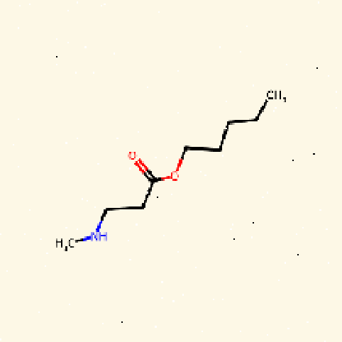 CCCCCOC(=O)CCNC